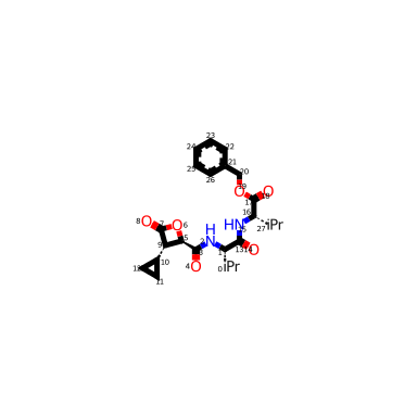 CC(C)[C@H](NC(=O)[C@@H]1OC(=O)[C@H]1C1CC1)C(=O)N[C@H](C(=O)OCc1ccccc1)C(C)C